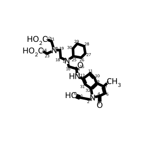 C#CCn1c(=O)cc(C)c2ccc(NC(=O)CN(CCN(CC(=O)O)CC(=O)O)C3CCCCC3)cc21